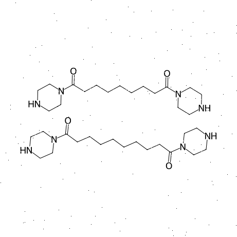 O=C(CCCCCCCC(=O)N1CCNCC1)N1CCNCC1.O=C(CCCCCCCCC(=O)N1CCNCC1)N1CCNCC1